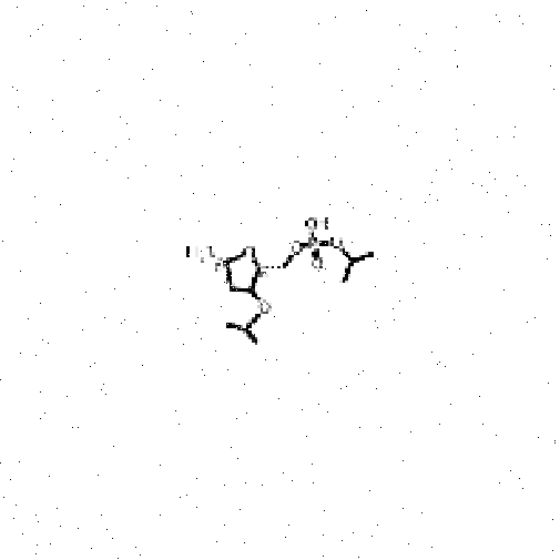 B[C@H]1CC(OC(C)C)[C@@H](COP(=O)(O)OC(C)C)O1